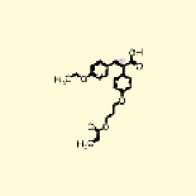 C=CC(=O)OCCCOc1ccc(/C(=C\c2ccc(OCC)cc2)C(=O)O)cc1